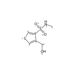 CNS(=O)(=O)c1cscc1CO